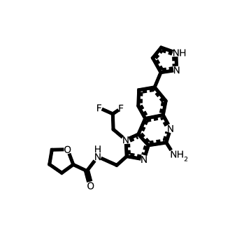 Nc1nc2cc(-c3cc[nH]n3)ccc2c2c1nc(CNC(=O)C1CCCO1)n2CC(F)F